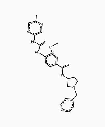 COc1cc(C(=O)NC2CCN(Cc3ccncc3)C2)ccc1NC(=O)Nc1cnc(C)cn1